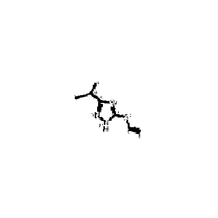 C=CSc1nc(C(C)C)n[nH]1